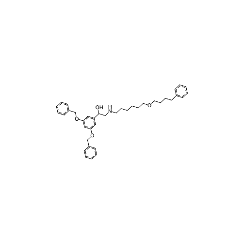 OC(CNCCCCCCOCCCCc1ccccc1)c1cc(OCc2ccccc2)cc(OCc2ccccc2)c1